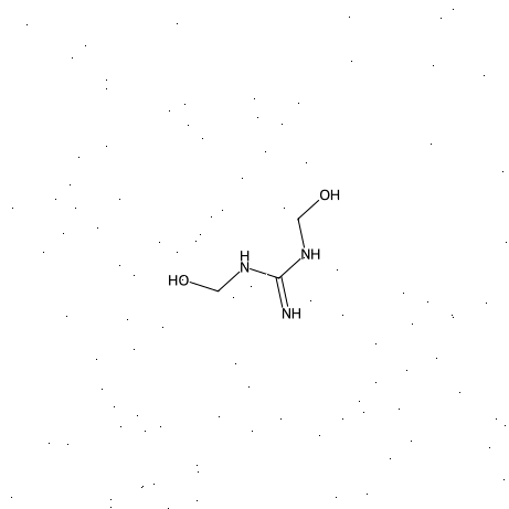 N=C(NCO)NCO